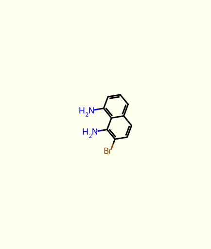 Nc1cccc2ccc(Br)c(N)c12